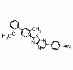 COc1ccccc1C1=CCN(c2nc3ncc(-c4ccc(C#N)cc4)nc3s2)C(C)=C1